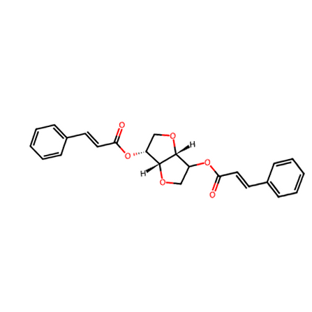 O=C(/C=C/c1ccccc1)OC1CO[C@H]2[C@@H]1OC[C@H]2OC(=O)/C=C/c1ccccc1